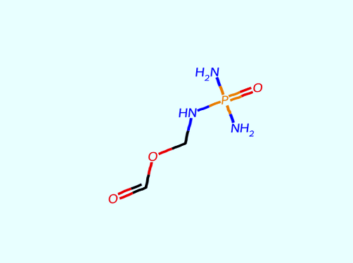 NP(N)(=O)NCOC=O